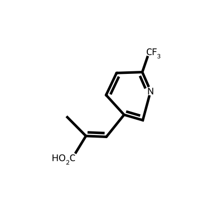 CC(=Cc1ccc(C(F)(F)F)nc1)C(=O)O